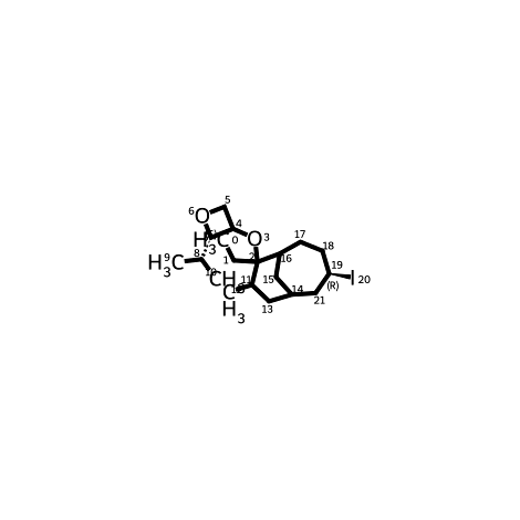 CCC1(OC2CO[C@H]2C(C)C)C(C)CC2CC1CC[C@@H](I)C2